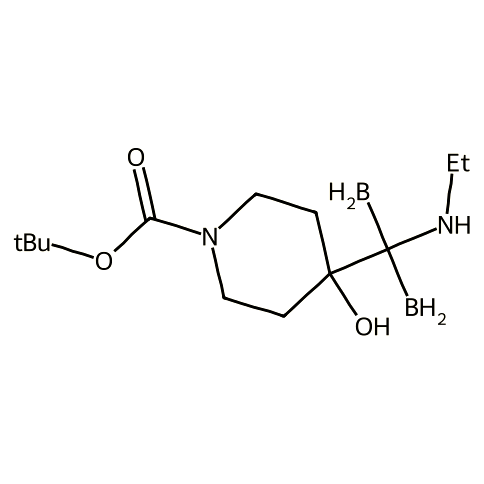 BC(B)(NCC)C1(O)CCN(C(=O)OC(C)(C)C)CC1